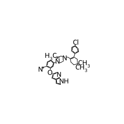 C[C@@H]1CN(CC2=C(c3ccc(Cl)cc3)CC(C)(C)CC2)CCN1c1ccc(C#N)c(Oc2cnc3[nH]ccc3c2)c1